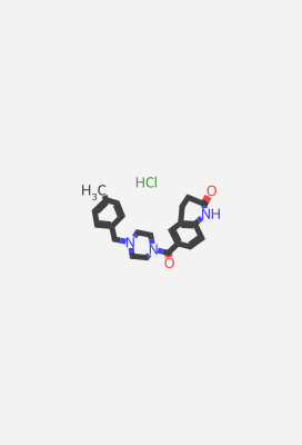 Cc1ccc(CN2CCN(C(=O)c3ccc4c(c3)CCC(=O)N4)CC2)cc1.Cl